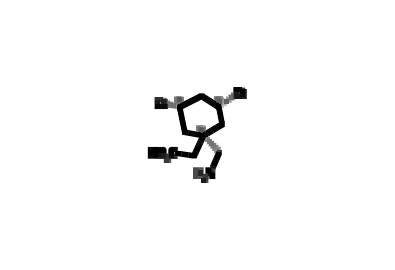 CC[C@@H]1C[C@H](CC)C[C@@](CN)(CC(=O)O)C1